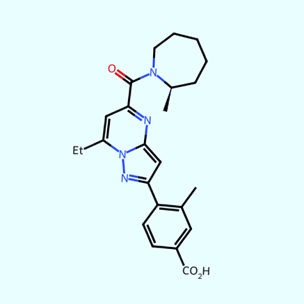 CCc1cc(C(=O)N2CCCCC[C@H]2C)nc2cc(-c3ccc(C(=O)O)cc3C)nn12